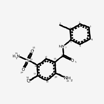 Cc1ccccc1NC(=O)c1cc(S(N)(=O)=O)c(Cl)cc1N